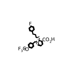 O=C(O)C1=CC=CN(Cc2ccc(OC(F)(F)F)cc2)C1SCCCc1ccc(F)cc1